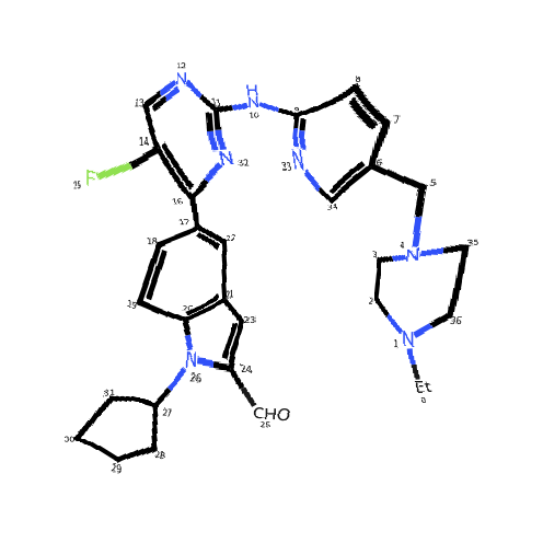 CCN1CCN(Cc2ccc(Nc3ncc(F)c(-c4ccc5c(c4)cc(C=O)n5C4CCCC4)n3)nc2)CC1